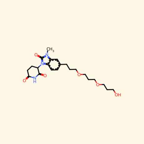 Cn1c(=O)n(C2CCC(=O)NC2=O)c2ccc(CCCOCCCOCCCO)cc21